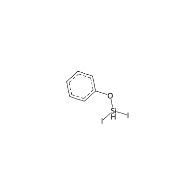 I[SiH](I)Oc1ccccc1